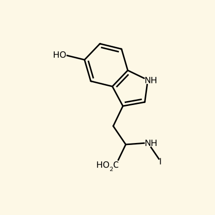 O=C(O)C(Cc1c[nH]c2ccc(O)cc12)NI